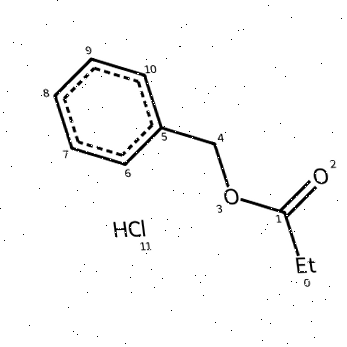 CCC(=O)OCc1ccccc1.Cl